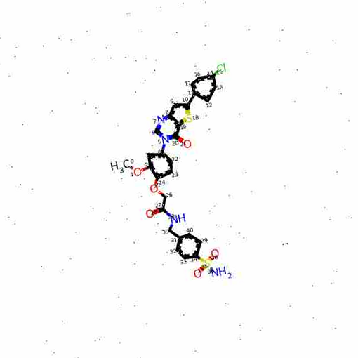 COc1cc(-n2cnc3cc(-c4ccc(Cl)cc4)sc3c2=O)ccc1OCC(=O)NCc1ccc(S(N)(=O)=O)cc1